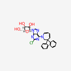 OC[C@H]1O[C@@H](n2cnc3c(N4C=CC=CC(c5ccccc5)(c5ccccc5)C4)nc(Cl)nc32)[C@H](O)[C@@H]1O